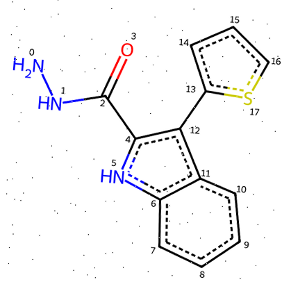 NNC(=O)c1[nH]c2ccccc2c1-c1cccs1